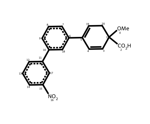 COC1(C(=O)O)C=CC(c2cccc(-c3cccc([N+](=O)[O-])c3)c2)=CC1